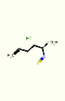 C=CCC[C@H](N=S)C(=O)O.Cl